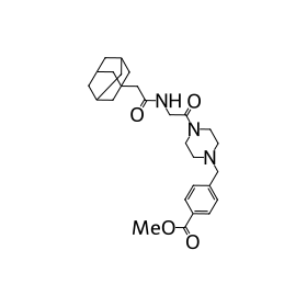 COC(=O)c1ccc(CN2CCN(C(=O)CNC(=O)CC34CC5CC(CC(C5)C3)C4)CC2)cc1